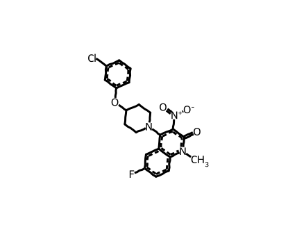 Cn1c(=O)c([N+](=O)[O-])c(N2CCC(Oc3cccc(Cl)c3)CC2)c2cc(F)ccc21